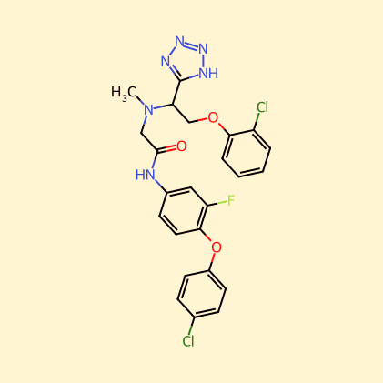 CN(CC(=O)Nc1ccc(Oc2ccc(Cl)cc2)c(F)c1)C(COc1ccccc1Cl)c1nnn[nH]1